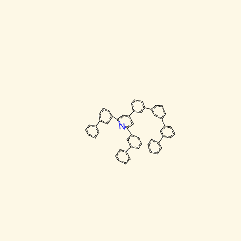 c1ccc(-c2cccc(-c3cccc(-c4cccc(-c5cc(-c6cccc(-c7ccccc7)c6)nc(-c6cccc(-c7ccccc7)c6)c5)c4)c3)c2)cc1